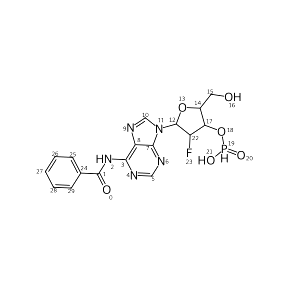 O=C(Nc1ncnc2c1ncn2C1OC(CO)C(O[PH](=O)O)C1F)c1ccccc1